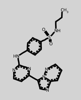 CCCNS(=O)(=O)c1ccc(Nc2nccc(-c3cnc4cccnn34)n2)cc1